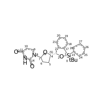 CC(C)(C)[Si](OC[C@@H]1CCC(n2ccc(=O)[nH]c2=O)O1)(c1ccccc1)c1ccccc1